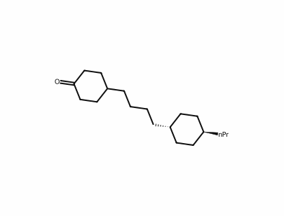 CCC[C@H]1CC[C@H](CCCCC2CCC(=O)CC2)CC1